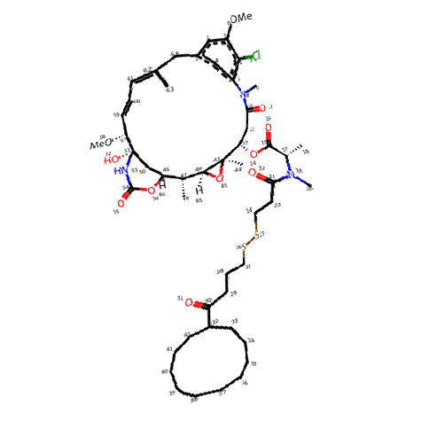 COc1cc2cc(c1Cl)N(C)C(=O)C[C@H](OC(=O)[C@H](C)N(C)C(=O)CCSSCCCC(=O)C1CCCCCCCCCC1)[C@@]1(C)O[C@H]1[C@H](C)[C@@H]1C[C@@](O)(NC(=O)O1)[C@H](OC)/C=C/C=C(\C)C2